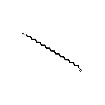 [C-]#[N+]CCCCCCCCCCCCCCCCCCCCCCC